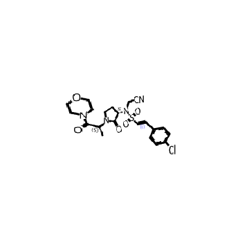 C[C@@H](C(=O)N1CCOCC1)N1CC[C@H](N(CC#N)S(=O)(=O)/C=C/c2ccc(Cl)cc2)C1=O